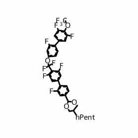 CCCCCC1COC(c2ccc(-c3cc(F)c(C(F)(F)Oc4ccc(-c5cc(F)c(OC(F)(F)F)c(F)c5)c(F)c4)c(F)c3)c(F)c2)OC1